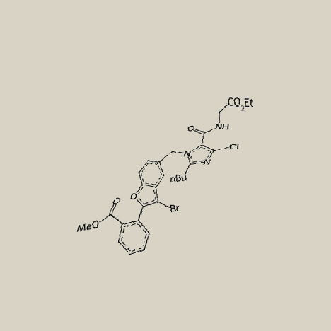 CCCCc1nc(Cl)c(C(=O)NCC(=O)OCC)n1Cc1ccc2oc(-c3ccccc3C(=O)OC)c(Br)c2c1